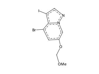 COCOc1cc(Br)c2c(I)cnn2c1